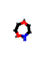 c1cocco[nH]1